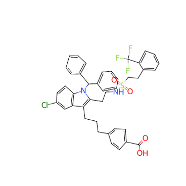 O=C(O)c1ccc(CCCc2c(CCNS(=O)(=O)CCc3ccccc3C(F)(F)F)n(C(c3ccccc3)c3ccccc3)c3ccc(Cl)cc23)cc1